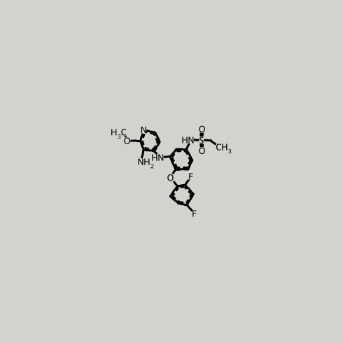 CCS(=O)(=O)Nc1ccc(Oc2ccc(F)cc2F)c(Nc2ccnc(OC)c2N)c1